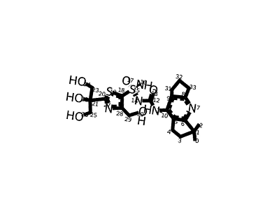 CC1(C)CCc2c1nc1c(c2NC(=O)N=[S@@](N)(=O)c2sc(C(O)(CO)CO)nc2CO)CCC1